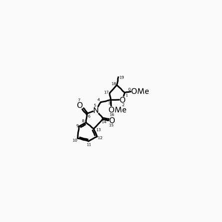 COC1OC(CN2C(=O)c3ccccc3C2=O)(OC)CC1C